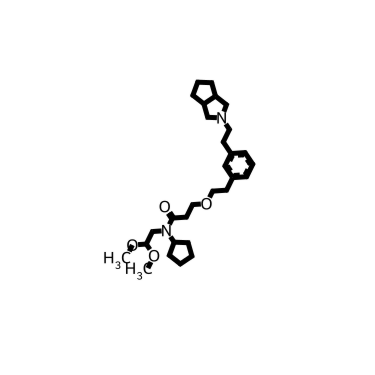 COC(CN(C(=O)CCOCCc1cccc(CCN2CC3CCCC3C2)c1)C1CCCC1)OC